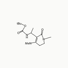 CNC1=C(C(C)NC(=O)OC(C)(C)C)C(=O)N(C)CC1